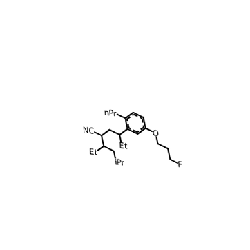 CCCc1ccc(OCCCF)cc1C(CC)CC(C#N)C(CC)CC(C)C